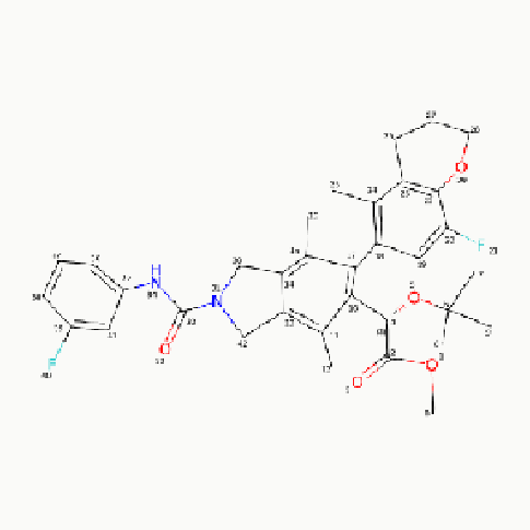 COC(=O)[C@@H](OC(C)(C)C)c1c(C)c2c(c(C)c1-c1cc(F)c3c(c1C)CCCO3)CN(C(=O)Nc1cccc(F)c1)C2